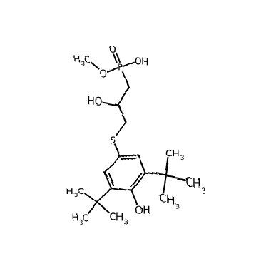 COP(=O)(O)CC(O)CSc1cc(C(C)(C)C)c(O)c(C(C)(C)C)c1